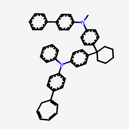 CN(c1ccc(-c2ccccc2)cc1)c1ccc(C2(c3ccc(N(c4ccccc4)c4ccc(C5=CC=CC=CC5)cc4)cc3)CCCCC2)cc1